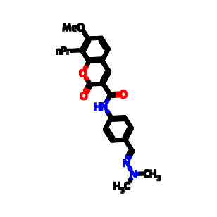 CCCc1c(OC)ccc2cc(C(=O)Nc3ccc(C=NN(C)C)cc3)c(=O)oc12